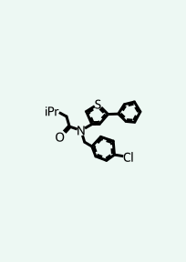 CC(C)CC(=O)N(Cc1ccc(Cl)cc1)c1csc(-c2ccccc2)c1